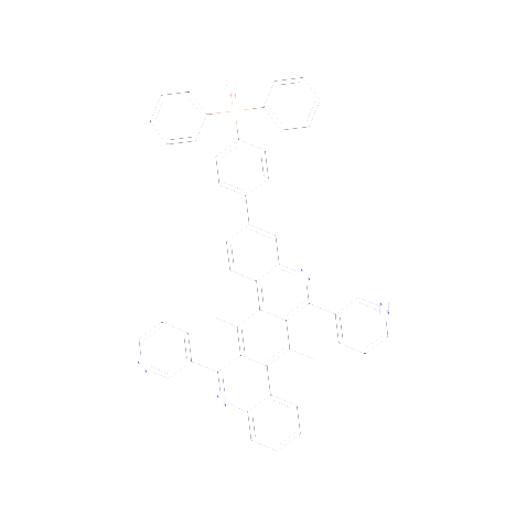 Cc1c2c(-c3cccnc3)nc3cc(-c4ccc(P(=O)(c5ccccc5)c5ccccc5)cc4)ccc3c2c(C)c2c(-c3cccnc3)nc3ccccc3c12